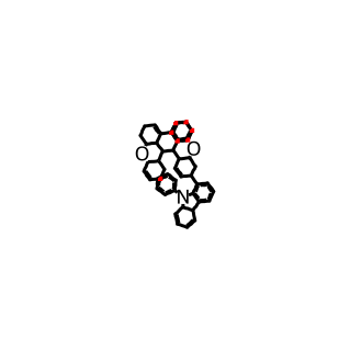 C1=CC2c3cccc(C4C=CC5C(C4)OC4=CCCC=C4C5C4C5CCC=CC5OC5CCC=C(C6=CCCC=C6)C54)c3N(c3ccccc3)C2C=C1